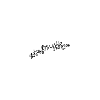 O=C(Nc1ccn(CCC(F)Cn2cc(C(=O)NCc3cccc(OC(F)(F)F)c3)nn2)c(=O)c1F)C(=O)N1CCCC(O)C1